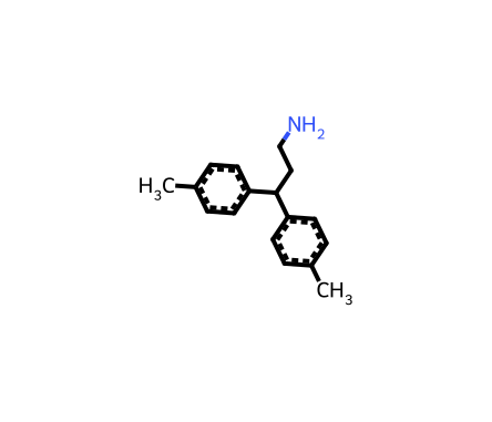 Cc1ccc(C(CCN)c2ccc(C)cc2)cc1